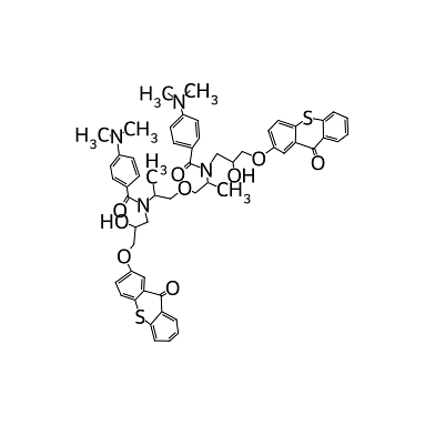 CC(COCC(C)N(CC(O)COc1ccc2sc3ccccc3c(=O)c2c1)C(=O)c1ccc(N(C)C)cc1)N(CC(O)COc1ccc2sc3ccccc3c(=O)c2c1)C(=O)c1ccc(N(C)C)cc1